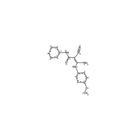 COc1ccc(NC(N)=C(C#N)C(=O)Nc2ccccc2)cc1